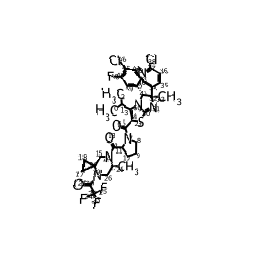 CC(C)C1=C(C(=O)N2CCCC2C(=O)N2CC3(CC3)N(C(=O)C(F)(F)F)C[C@@H]2C)SC2=N[C@@](C)(c3ccc(Cl)nc3)[C@@H](c3ccc(Cl)c(F)c3)N21